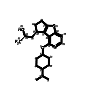 CN(C)C1CCC(Oc2ncnc3sc4c(c23)[C@@H](C[C@@H](O)C(F)(F)F)CC4)CC1